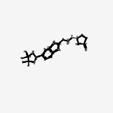 CC1(C)OB(c2ccc3oc(CNC[C@@H]4CCC(=O)N4)nc3c2)OC1(C)C